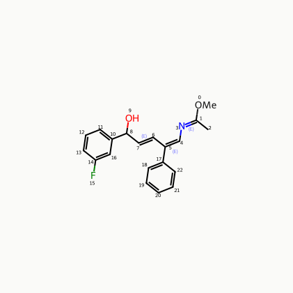 CO/C(C)=N/C=C(\C=C\C(O)c1cccc(F)c1)c1ccccc1